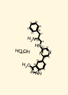 Cc1n[nH]c2ccc(-c3cncc(NC[C@@H](N)Cc4ccccc4)n3)cc12.Cl.Cl